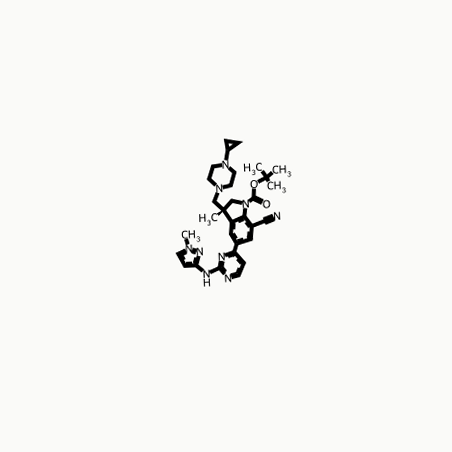 Cn1ccc(Nc2nccc(-c3cc(C#N)c4c(c3)[C@](C)(CN3CCN(C5CC5)CC3)CN4C(=O)OC(C)(C)C)n2)n1